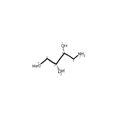 COC[C@@H](O)[C@H](O)CN